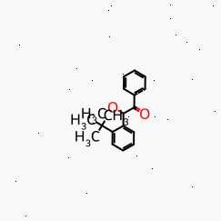 COC(C(=O)c1ccccc1)c1ccccc1C(C)(C)C